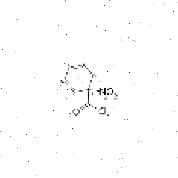 O=C(Cl)C1([N+](=O)[O-])C=CC=CC1